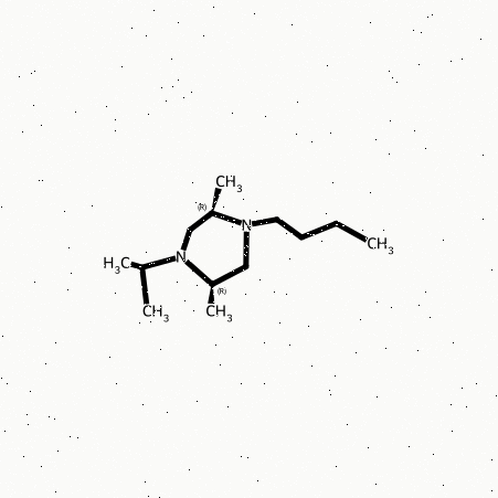 CCCCN1C[C@@H](C)N(C(C)C)C[C@H]1C